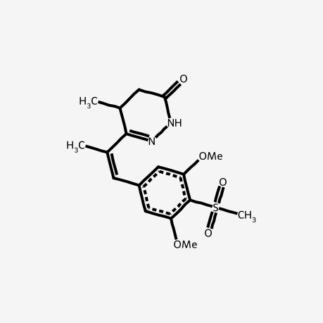 COc1cc(C=C(C)C2=NNC(=O)CC2C)cc(OC)c1S(C)(=O)=O